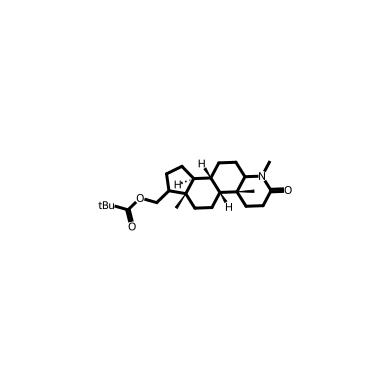 CN1C(=O)CC[C@@]2(C)C1CC[C@@H]1[C@H]2CC[C@]2(C)C(COC(=O)C(C)(C)C)CC[C@@H]12